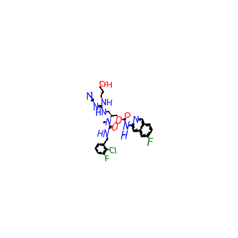 CN(C(=O)NCc1cccc(F)c1Cl)[C@@H](CN/C(=N/C#N)NCCCO)COC(=O)Nc1cc2cc(F)ccc2cn1